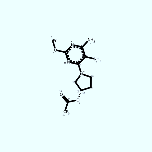 CC(C)Oc1nc(N)c(N)c(N2CC[C@H](OC(=O)C(F)(F)F)C2)n1